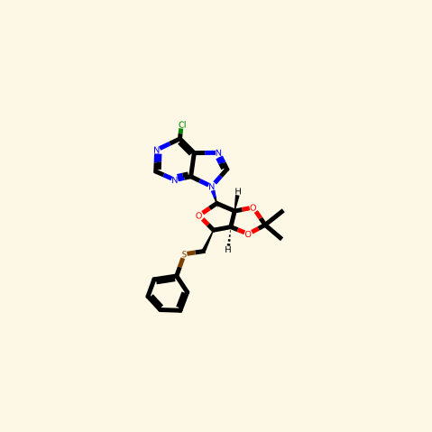 CC1(C)O[C@@H]2[C@@H](O1)[C@@H](CSc1ccccc1)O[C@H]2n1cnc2c(Cl)ncnc21